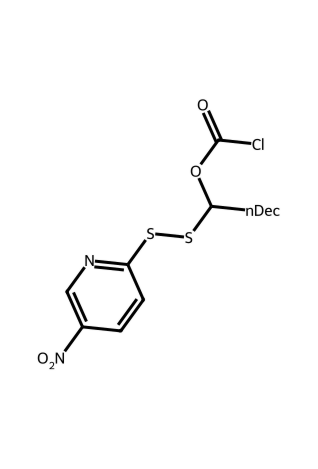 CCCCCCCCCCC(OC(=O)Cl)SSc1ccc([N+](=O)[O-])cn1